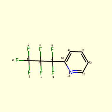 FC(F)(F)C(F)(F)C(F)(F)c1ccccn1